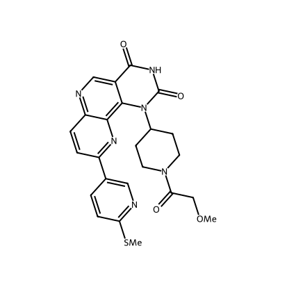 COCC(=O)N1CCC(n2c(=O)[nH]c(=O)c3cnc4ccc(-c5ccc(SC)nc5)nc4c32)CC1